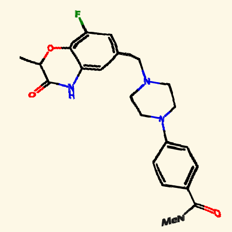 CNC(=O)c1ccc(N2CCN(Cc3cc(F)c4c(c3)NC(=O)C(C)O4)CC2)cc1